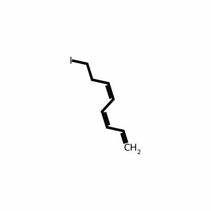 C=C/C=C\C=C/CCI